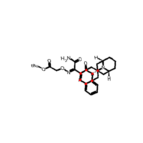 CC(C)(C)OC(=O)CON=C(C(N)=O)c1nc2ccccc2n([C@H]2C[C@H]3CCC[C@@H](C2)N3C2CC3CCCC(C3)C2)c1=O